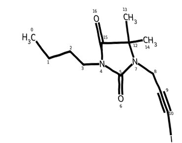 CCCCN1C(=O)N(CC#CI)C(C)(C)C1=O